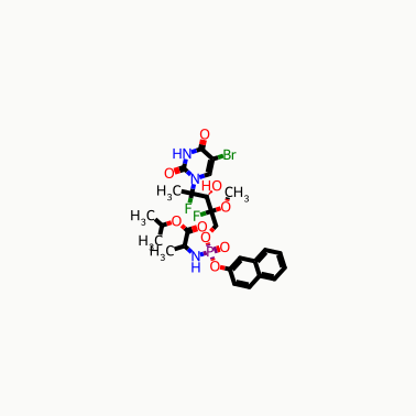 COC(F)(COP(=O)(NC(C)C(=O)OC(C)C)Oc1ccc2ccccc2c1)[C@@H](O)C(C)(F)n1cc(Br)c(=O)[nH]c1=O